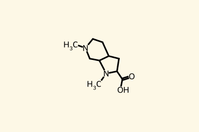 CN1CCC2CC(C(=O)O)N(C)C2C1